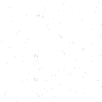 Cc1ccccc1-c1ccc(C(=O)NS(=O)(=O)c2cccc(N)n2)c(N2CC(C)CC2(C)C)n1